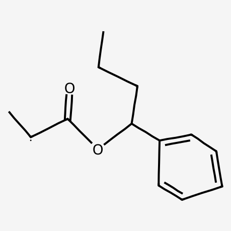 C[CH]C(=O)OC(CCC)c1ccccc1